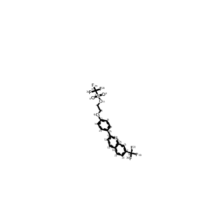 O=S(=O)(OCCOc1ccc(-c2ccc3ccc(C(F)(F)F)cc3n2)cc1)C(F)(F)F